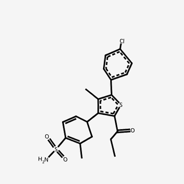 CCC(=O)c1sc(-c2ccc(Cl)cc2)c(C)c1C1C=CC(S(N)(=O)=O)=C(C)C1